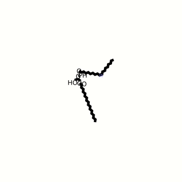 CCCCCCCC/C=C\CCCCCCCC(=O)POC(CO)COC(=O)CCCCCCCCCCCCCCCCC